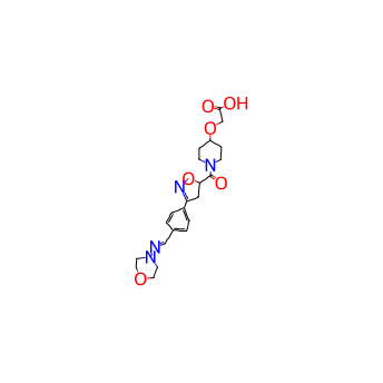 O=C(O)COC1CCN(C(=O)C2CC(c3ccc(C=NN4CCOCC4)cc3)=NO2)CC1